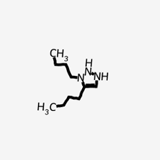 CCCCC1=CNNN1CCCC